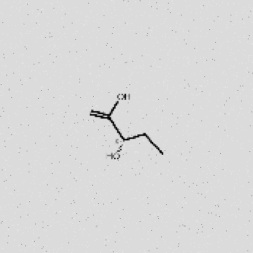 C=C(O)[C@@H](O)CC